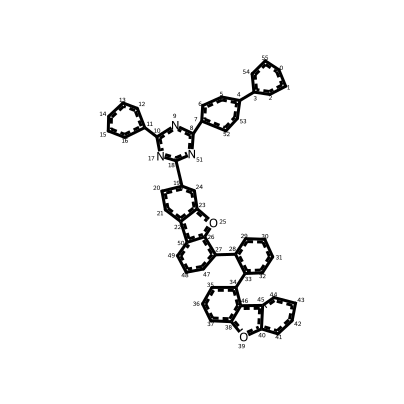 c1ccc(-c2ccc(-c3nc(-c4ccccc4)nc(-c4ccc5c(c4)oc4c(-c6ccccc6-c6cccc7oc8ccccc8c67)cccc45)n3)cc2)cc1